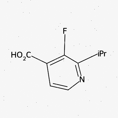 CC(C)c1nccc(C(=O)O)c1F